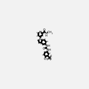 CNC(=O)c1cc(-n2ccc3cc(NC(=O)Nc4ccc(Cl)c(C(F)(F)F)c4)ccc32)ccn1